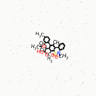 Cc1ccc(-c2c(C)c3c(c(C)c2[C@H](OC(C)(C)C)C(=O)O)S(=O)(=O)N(C)c2ccccc2-3)cc1